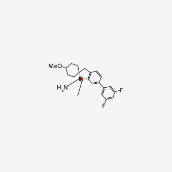 COC1CCC2(CC1)Cc1ccc(-c3cc(F)cc(F)c3)cc1[C@@]21N=C(C)C(N)=N1